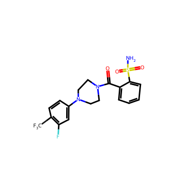 NS(=O)(=O)c1ccccc1C(=O)N1CCN(c2ccc(C(F)(F)F)c(F)c2)CC1